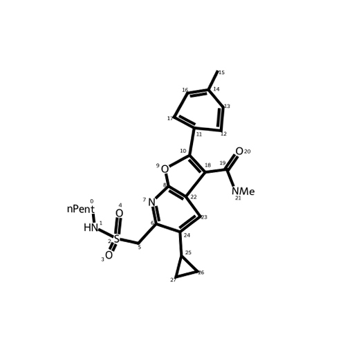 CCCCCNS(=O)(=O)Cc1nc2oc(-c3ccc(C)cc3)c(C(=O)NC)c2cc1C1CC1